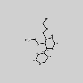 CCCC1C(CCCF)NCCC1C1CCCCC1